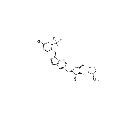 CN1CCC[C@H]1CN1C(=O)S/C(=C\c2ccc3c(cnn3Cc3ccc(Cl)cc3C(F)(F)F)c2)C1=O